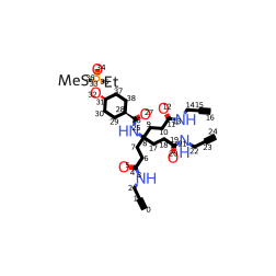 C#CCNC(=O)CCC(CCC(=O)NCC#C)(CCC(=O)NCC#C)NC(=O)[C@H]1CC[C@@H](OP(=O)(CC)SC)CC1